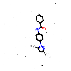 O=C(Nc1ccc(-n2nc(C(F)(F)F)cc2C(F)(F)F)cc1)C1CC=CCC1